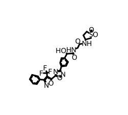 O=C(CNC(=O)C(O)c1ccc(-c2noc(-c3onc(-c4ccccc4)c3C(F)(F)F)n2)cc1)NC1CCS(=O)(=O)C1